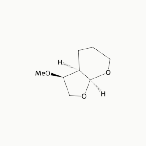 CO[C@@H]1CO[C@@H]2OCCC[C@@H]21